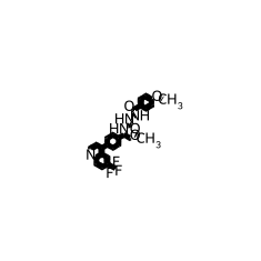 COCC(NC(=O)NNC(=O)c1ccc(OC)cc1)C1CCC(c2ccnc3ccc(C(F)(F)F)cc23)CC1